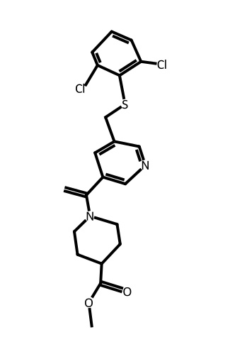 C=C(c1cncc(CSc2c(Cl)cccc2Cl)c1)N1CCC(C(=O)OC)CC1